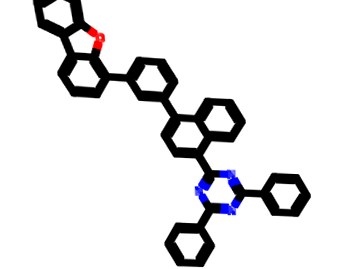 c1ccc(-c2nc(-c3ccccc3)nc(-c3ccc(-c4cccc(-c5cccc6c5oc5ccccc56)c4)c4ccccc34)n2)cc1